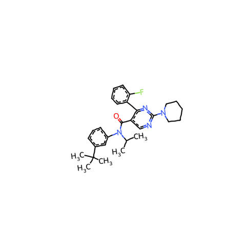 CC(C)N(C(=O)c1cnc(N2CCCCC2)nc1-c1ccccc1F)c1cccc(C(C)(C)C)c1